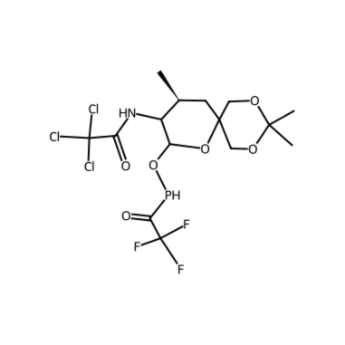 C[C@H]1CC2(COC(C)(C)OC2)OC(OPC(=O)C(F)(F)F)C1NC(=O)C(Cl)(Cl)Cl